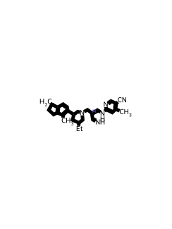 C=C1CCc2c1ccc(C1CC(CC)CN(C/C(C=N)=C/Nc3cc(C)c(C#N)cn3)C1)c2C